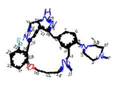 CN1CCN(c2ccc3cc2CN(C)CCCOc2cccc(F)c2-c2cc4c-3n[nH]c4cn2)CC1